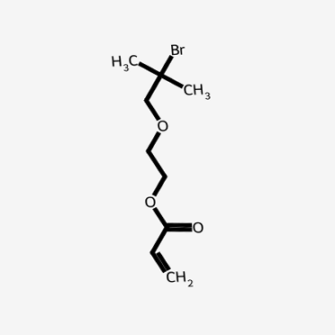 C=CC(=O)OCCOCC(C)(C)Br